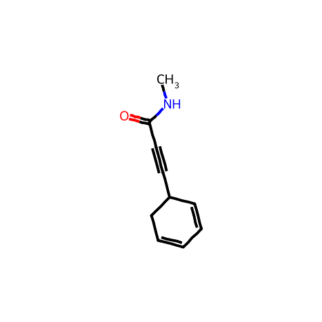 CNC(=O)C#CC1C=CC=CC1